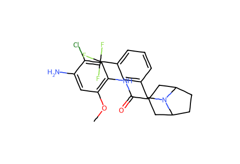 COc1cc(N)c(Cl)cc1NC(=O)C1CC2CCC(C1)N2Cc1cccc(C(F)(F)F)c1